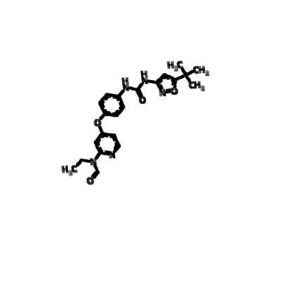 CCN(C=O)c1cc(Oc2ccc(NC(=O)Nc3cc(C(C)(C)C)on3)cc2)ccn1